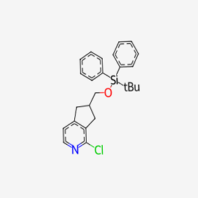 CC(C)(C)[Si](OCC1Cc2ccnc(Cl)c2C1)(c1ccccc1)c1ccccc1